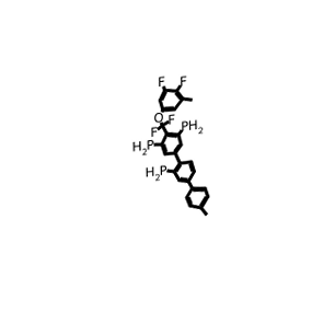 Cc1ccc(-c2ccc(-c3cc(P)c(C(F)(F)Oc4cc(C)c(F)c(F)c4)c(P)c3)c(P)c2)cc1